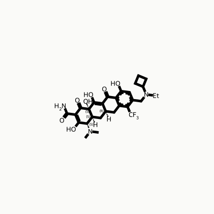 CCN(Cc1cc(O)c2c(c1C(F)(F)F)C[C@H]1C[C@H]3[C@H](N(C)C)C(O)=C(C(N)=O)C(=O)[C@@]3(O)C(O)=C1C2=O)C1CCC1